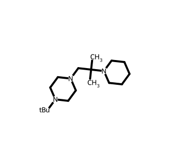 CC(C)(C)N1CCN(CC(C)(C)N2CCCCC2)CC1